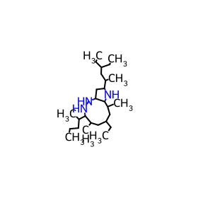 CCCC(C)C1NNC2CC(C(C)CC(CC)CC)NC2C(C)CC(CC)CC1C